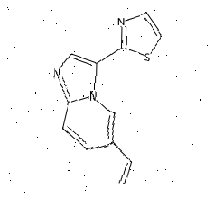 C=Cc1ccc2ncc(-c3nccs3)n2c1